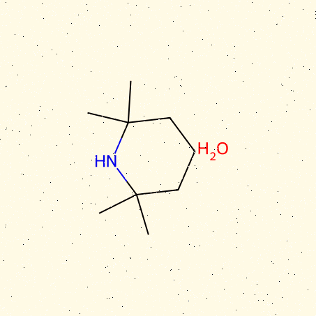 CC1(C)CCCC(C)(C)N1.O